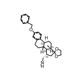 CNC[C@H]1CC2(OCCO2)[C@@]2(C)CC[C@@H]3c4ccc(OCc5ccccc5)cc4CC[C@H]3[C@H]12